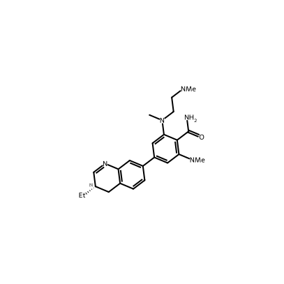 CC[C@@H]1C=Nc2cc(-c3cc(NC)c(C(N)=O)c(N(C)CCNC)c3)ccc2C1